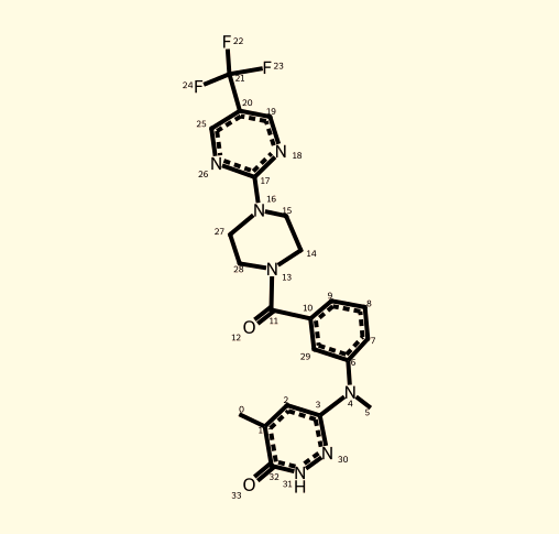 Cc1cc(N(C)c2cccc(C(=O)N3CCN(c4ncc(C(F)(F)F)cn4)CC3)c2)n[nH]c1=O